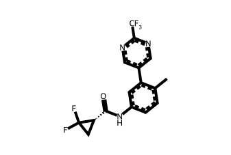 Cc1ccc(NC(=O)[C@@H]2CC2(F)F)cc1-c1cnc(C(F)(F)F)nc1